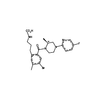 Cc1cc(CCCNC(=O)O)c(C(=O)N2CCN(c3ccc(F)cn3)C[C@@H]2C)cc1Br